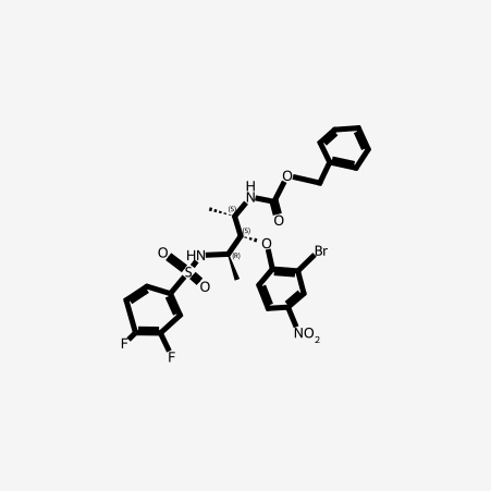 C[C@H](NC(=O)OCc1ccccc1)[C@H](Oc1ccc([N+](=O)[O-])cc1Br)[C@@H](C)NS(=O)(=O)c1ccc(F)c(F)c1